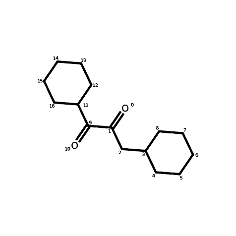 O=C(CC1CCCCC1)C(=O)C1CCCCC1